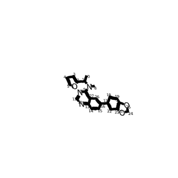 CC(c1ccco1)N(C)c1ncnc2ccc(-c3ccc4c(c3)OCO4)cc12